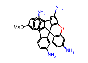 COc1ccc(-c2cc(N)cc3c2C2(c4ccc(N)cc4O3)c3cc(N)ccc3-c3ccc(N)cc32)cc1